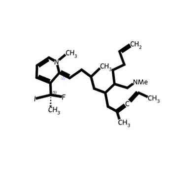 C=CCCC(CNC)C(CC(C)=C=CC)CC(C)C/C=C1/C([C@@](C)(F)I)=CC=CN1C